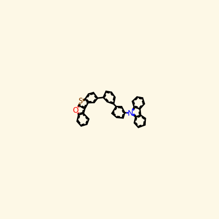 c1cc(-c2cccc(-n3c4ccccc4c4ccccc43)c2)cc(-c2ccc3sc4oc5ccccc5c4c3c2)c1